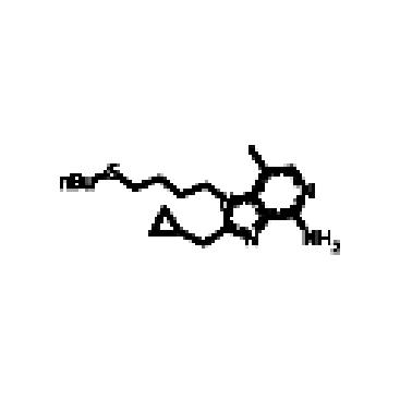 CCCCSCCCCn1c(CC2CC2)nc2c(N)ncc(C)c21